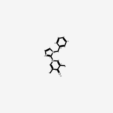 Cc1cn(-c2nccn2Cc2ccccc2)cc(C)c1=O